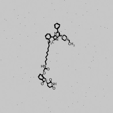 CCN1CCN(c2cc(-c3ccccc3)nc3c(-c4ccccc4CCCCCCCCCCCNC(=O)COc4cccc5c4CN(C4CCC(=O)NC4=O)C5=O)c(C)nn23)CC1